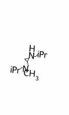 CC(C)CNC1CC1CN(C)CC(C)C